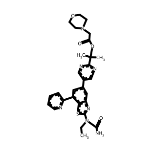 CCN(C(N)=O)c1nc2cc(-c3cnc(C(C)(C)OC(=O)CN4CCOCC4)nc3)cc(-c3ccccn3)c2s1